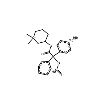 Br.C[N+]1(C)CCCC(OC(=O)C(O[Si](=O)O)(c2ccccc2)c2ccccc2)C1.[Mg+2]